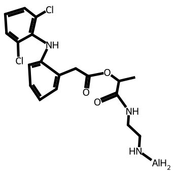 CC(OC(=O)Cc1ccccc1Nc1c(Cl)cccc1Cl)C(=O)NCC[NH][AlH2]